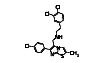 Cc1cn2c(CNCCc3ccc(Cl)c(Cl)c3)c(-c3ccc(Cl)cc3)nc2s1